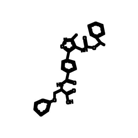 Cc1noc(-c2ccc(C(=O)NC(COc3ccccc3)C(=O)O)cc2)c1NC(=O)OC(C)c1ccccc1